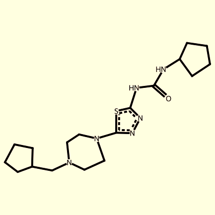 O=C(Nc1nnc(N2CCN(CC3CCCC3)CC2)s1)NC1CCCC1